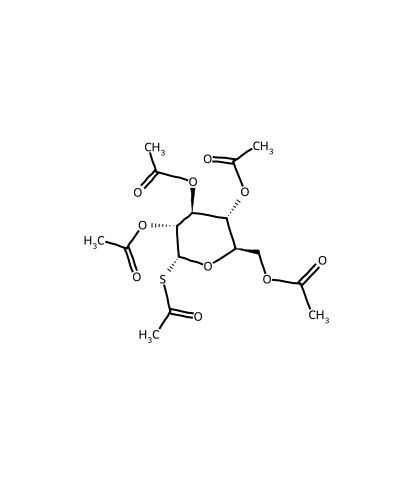 CC(=O)OC[C@H]1O[C@H](SC(C)=O)[C@H](OC(C)=O)[C@@H](OC(C)=O)[C@@H]1OC(C)=O